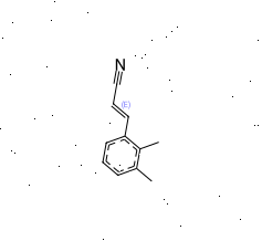 Cc1cccc(/C=C/C#N)c1C